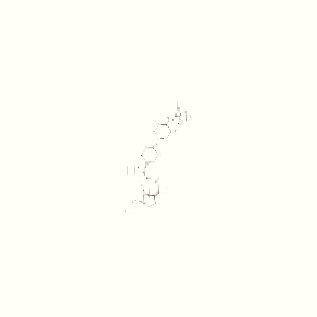 O=C1CCC(C(=O)Nc2ccc(-c3ccc(OC(F)(F)F)cc3)cc2)n2c(Br)ccc21